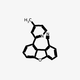 Cc1ccnc(-c2cccc3oc4cccc(C#N)c4c23)c1